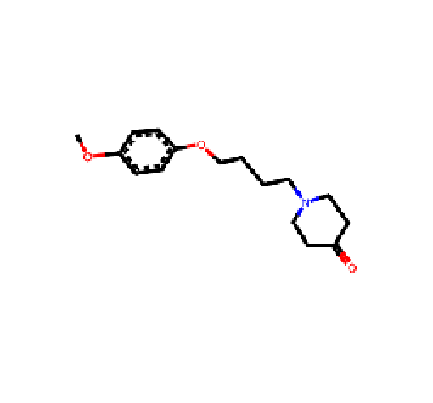 COc1ccc(OCCCCN2CCC(=O)CC2)cc1